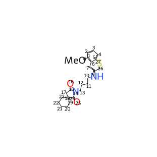 COc1cccc2c1C=C(NCCCCN1C(=O)CC3(CCCCC3)C1=O)CS2